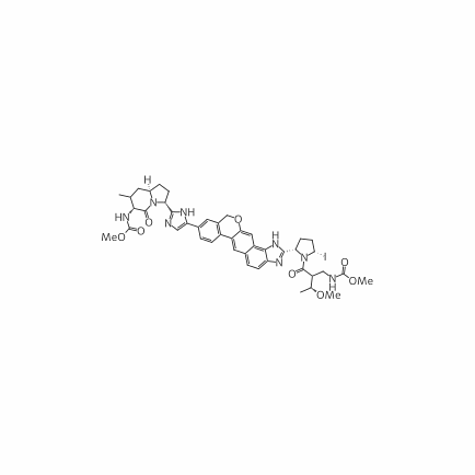 COC(=O)NCC(C(=O)N1[C@@H](I)CC[C@H]1c1nc2ccc3cc4c(cc3c2[nH]1)OCc1cc(-c2cnc([C@@H]3CC[C@@H]5CC(C)[C@H](NC(=O)OC)C(=O)N53)[nH]2)ccc1-4)[C@H](C)OC